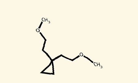 COCCC1(CCOC)CC1